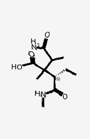 CC[C@H](C(=O)NC)C(C)(C(=O)O)C(C)C(N)=O